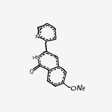 COc1ccc2c(=O)[nH]c(-c3ccccn3)cc2c1